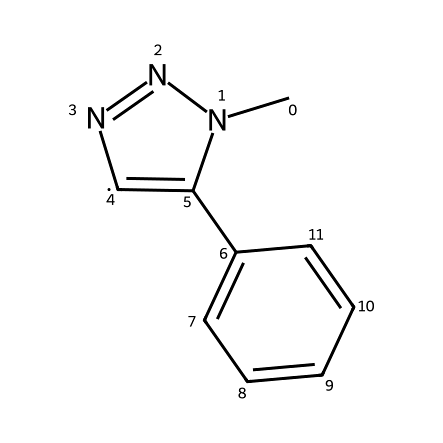 Cn1nn[c]c1-c1ccccc1